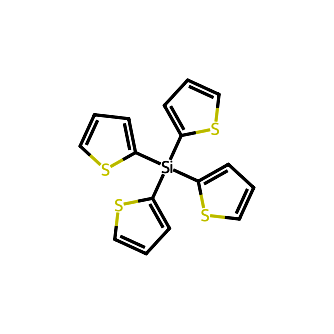 c1csc([Si](c2cccs2)(c2cccs2)c2cccs2)c1